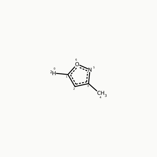 [2H]c1cc(C)no1